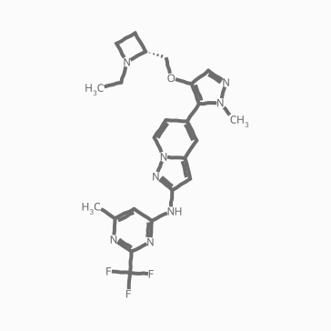 CCN1CC[C@@H]1COc1cnn(C)c1-c1ccn2nc(Nc3cc(C)nc(C(F)(F)F)n3)cc2c1